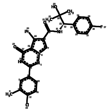 Cc1cc(-c2nn3cc(C(=O)N[C@@H](c4ccc(F)cc4)C(C)(C)O)c(C(C)C)c3c(=O)[nH]2)ccc1Cl